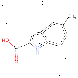 Cc1ccc2[nH]c(C(=O)O)cc2c1